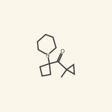 CC1(C(=O)C2(N3CCCCC3)CCC2)CC1